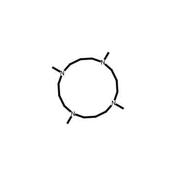 CN1CCCN(C)CCCN(C)CCCN(C)CCC1